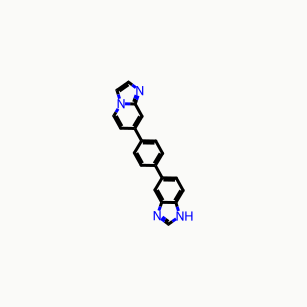 c1cn2ccc(-c3ccc(-c4ccc5[nH]cnc5c4)cc3)cc2n1